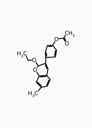 CCOC1Oc2cc(C)ccc2C=C1c1ccc(OC(C)=O)cc1